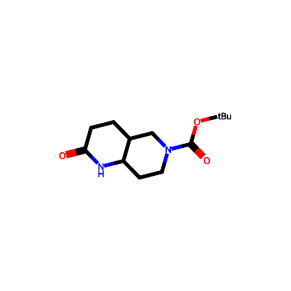 CC(C)(C)OC(=O)N1CCC2NC(=O)CCC2C1